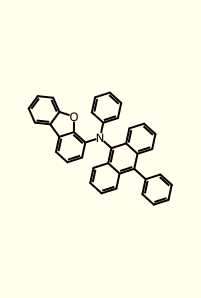 c1ccc(-c2c3ccccc3c(N(c3ccccc3)c3cccc4c3oc3ccccc34)c3ccccc23)cc1